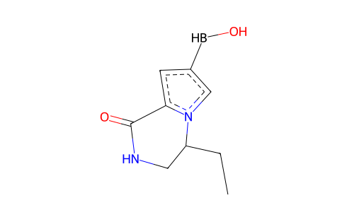 CCC1CNC(=O)c2cc(BO)cn21